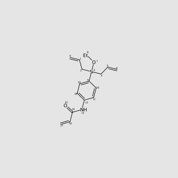 C=CC[Si](CC=C)(OCC)c1ccc(NC(=O)C=C)cc1